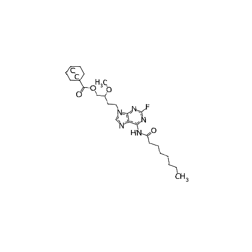 CCCCCCCC(=O)Nc1nc(F)nc2c1ncn2CCC(COC(=O)C12CCC(CC1)CC2)OC